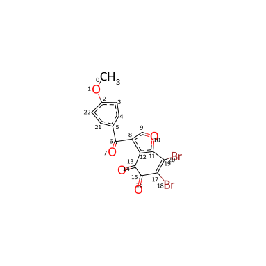 COc1ccc(C(=O)c2coc3c2C(=O)C(=O)C(Br)=C3Br)cc1